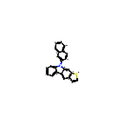 c1ccc2cc(-n3c4ccccc4c4cc5ccsc5cc43)ccc2c1